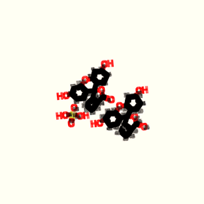 O=C1OC2(c3ccc(O)cc3Oc3cc(O)ccc32)c2ccccc21.O=C1OC2(c3ccc(O)cc3Oc3cc(O)ccc32)c2ccccc21.O=S(=O)(O)O